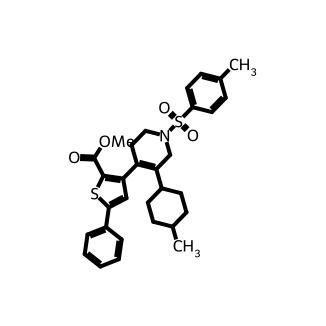 COC(=O)c1sc(-c2ccccc2)cc1C1=C(C2CCC(C)CC2)CN(S(=O)(=O)c2ccc(C)cc2)CC1